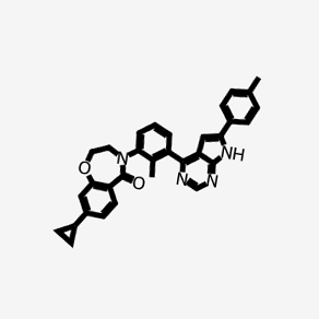 Cc1ccc(-c2cc3c(-c4cccc(N5CCOc6cc(C7CC7)ccc6C5=O)c4C)ncnc3[nH]2)cc1